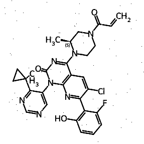 C=CC(=O)N1CCN(c2nc(=O)n(-c3cncnc3C3(C)CC3)c3nc(-c4c(O)cccc4F)c(Cl)cc23)[C@@H](C)C1